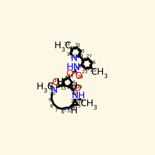 CC[C@@]12C[C@H]1/C=C\CCCCN(C)C(=O)[C@@H]1C[C@H](OC(=O)Nc3cc(C)ccc3-c3ccc(C)cn3)C[C@H]1C(=O)N2